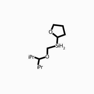 CC(C)C(OC[SiH2]C1CCCO1)C(C)C